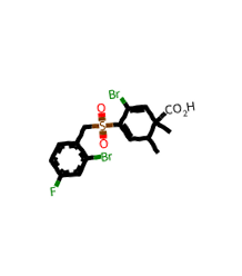 CC1C=C(S(=O)(=O)Cc2ccc(F)cc2Br)C(Br)=CC1(C)C(=O)O